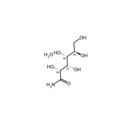 NC(=O)[C@H](O)[C@@H](O)[C@H](O)[C@H](O)CO.O